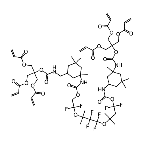 C=CC(=O)OCC(COC(=O)C=C)(COC(=O)C=C)OC(=O)NCC1CC(C)(C)CC(C)(NC(=O)OCC(F)(F)OC(C)(C)C(F)(F)C(F)(F)OC(C)(C)CC(F)(F)OC(=O)NC2CC(C)(C)CC(C)(NC(=O)OC(COC(=O)C=C)(COC(=O)C=C)COC(=O)C=C)C2)C1